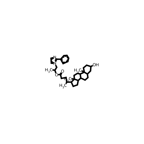 CC(Cn1ccnc1-c1ccccc1)OC(=O)CCC(C)C1CCC2C3CCC4CC(O)CCC4(C)C3CCC12C